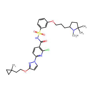 CC1(C)CCC(CCCOc2cccc(S(=O)(=O)NC(=O)c3ccc(-n4ccc(OCCC5(C(F)(F)F)CC5)n4)nc3Cl)c2)N1C(=O)O